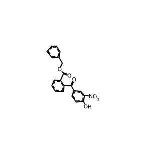 O=C(OCc1ccccc1)c1ccccc1C(=O)c1ccc(O)c([N+](=O)[O-])c1